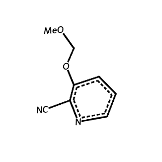 COCOc1cccnc1C#N